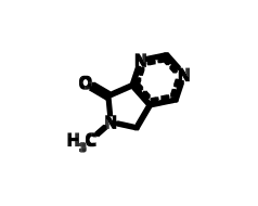 CN1Cc2cncnc2C1=O